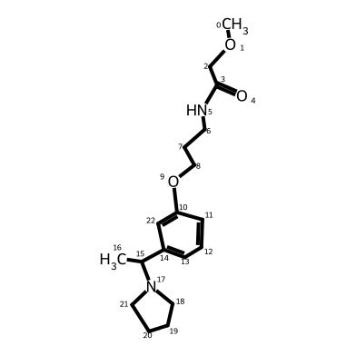 COCC(=O)NCCCOc1cccc(C(C)N2CCCC2)c1